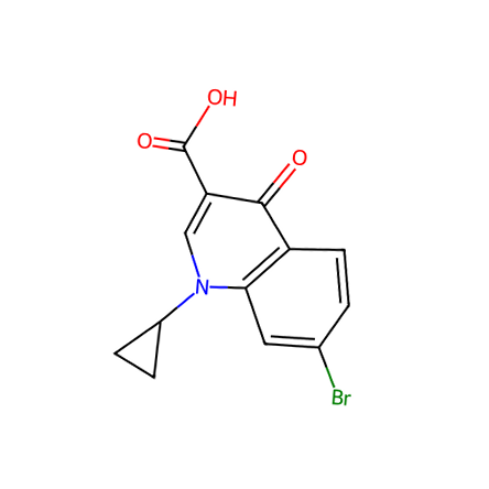 O=C(O)c1cn(C2CC2)c2cc(Br)ccc2c1=O